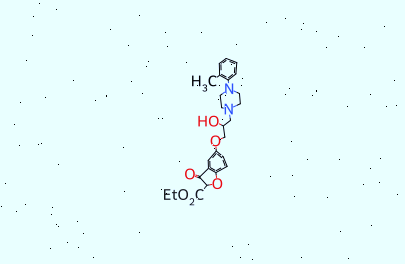 CCOC(=O)C1Oc2ccc(OCC(O)CN3CCN(c4ccccc4C)CC3)cc2C1=O